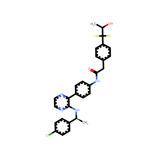 CC(O)C(F)(F)c1ccc(CC(=O)Nc2ccc(-c3nccnc3N[C@@H](C)c3ccc(Cl)cc3)cc2)cc1